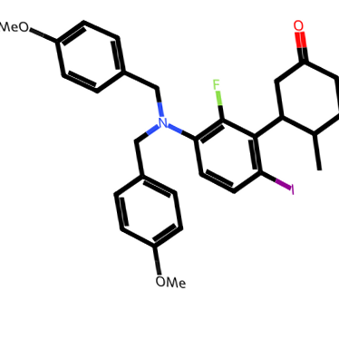 COc1ccc(CN(Cc2ccc(OC)cc2)c2ccc(I)c(C3CC(=O)CCC3C)c2F)cc1